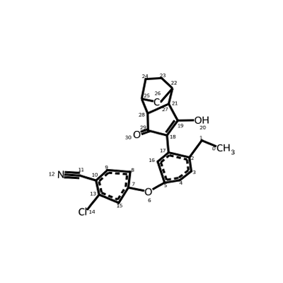 CCc1ccc(Oc2ccc(C#N)c(Cl)c2)cc1C1=C(O)C2C3CCC(CC3)C2C1=O